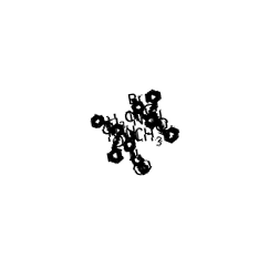 Cn1nc(-c2ccc(OCc3ccccc3)nc2OCc2ccccc2)c2ccc(Br)cc21.Cn1nc(-c2ccc(OCc3ccccc3)nc2OCc2ccccc2)c2ccc(N3CCC4(CC3)OCCO4)cc21